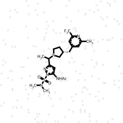 CC(=O)Nc1cc(C(C)N2CC[C@H](Cc3cc(C)nc(C(F)(F)F)c3)C2)nn1S(=O)(=O)N(C)C